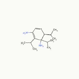 CC(C)C1=C(N)C=CC(C(C)C)C1(N)C(C)C